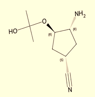 CC(C)(O)O[C@@H]1C[C@@H](C#N)C[C@H]1N